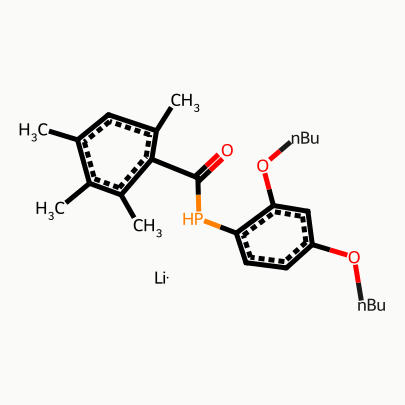 CCCCOc1ccc(PC(=O)c2c(C)cc(C)c(C)c2C)c(OCCCC)c1.[Li]